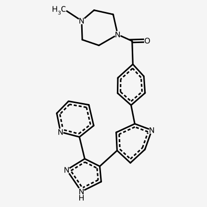 CN1CCN(C(=O)c2ccc(-c3cc(-c4c[nH]nc4-c4ccccn4)ccn3)cc2)CC1